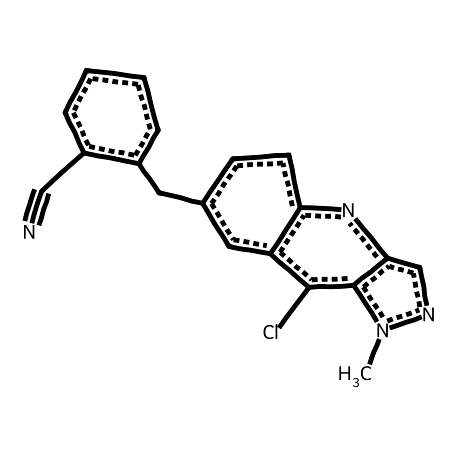 Cn1ncc2nc3ccc(Cc4ccccc4C#N)cc3c(Cl)c21